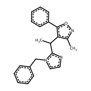 C[C](c1c(C)noc1-c1ccccc1)c1nccn1Cc1ccccc1